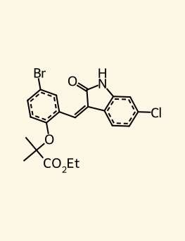 CCOC(=O)C(C)(C)Oc1ccc(Br)cc1C=C1C(=O)Nc2cc(Cl)ccc21